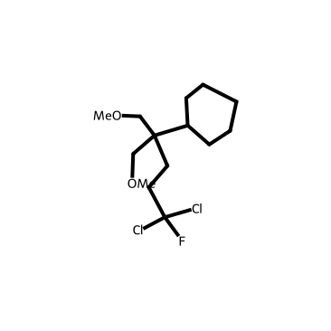 COCC(CCC(F)(Cl)Cl)(COC)C1CCCCC1